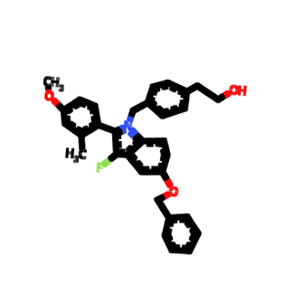 COc1ccc(-c2c(F)c3cc(OCc4ccccc4)ccc3n2Cc2ccc(CCO)cc2)c(C)c1